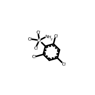 [NH2][Cr]([Cl])([Cl])([Cl])[c]1c(Cl)cc(Cl)cc1Cl